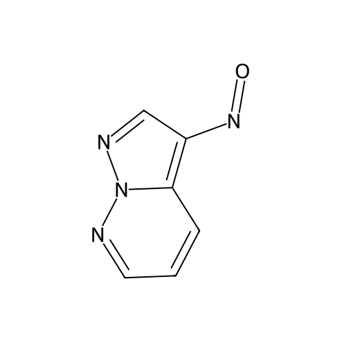 O=Nc1cnn2ncccc12